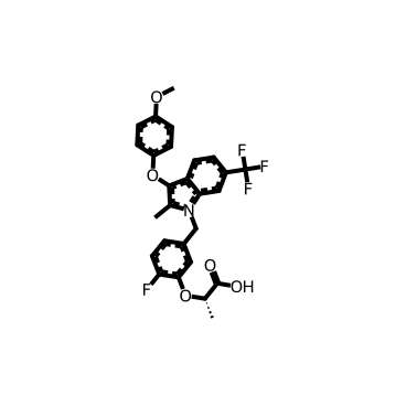 COc1ccc(Oc2c(C)n(Cc3ccc(F)c(O[C@@H](C)C(=O)O)c3)c3cc(C(F)(F)F)ccc23)cc1